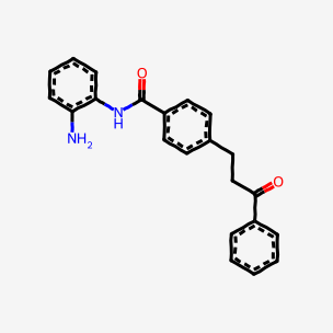 Nc1ccccc1NC(=O)c1ccc(CCC(=O)c2ccccc2)cc1